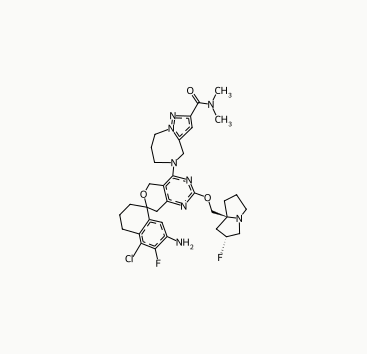 CN(C)C(=O)c1cc2n(n1)CCCN(c1nc(OC[C@@]34CCCN3C[C@H](F)C4)nc3c1COC1(CCCc4c1cc(N)c(F)c4Cl)C3)C2